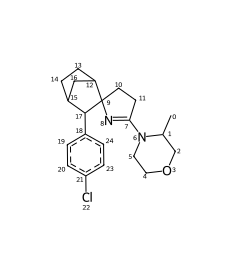 CC1COCCN1C1=NC2(CC1)C1CCC(C1)C2c1ccc(Cl)cc1